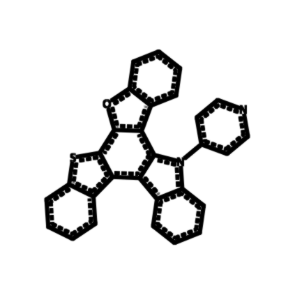 c1ccc2c(c1)oc1c3sc4ccccc4c3c3c4ccccc4n(-c4ccncc4)c3c21